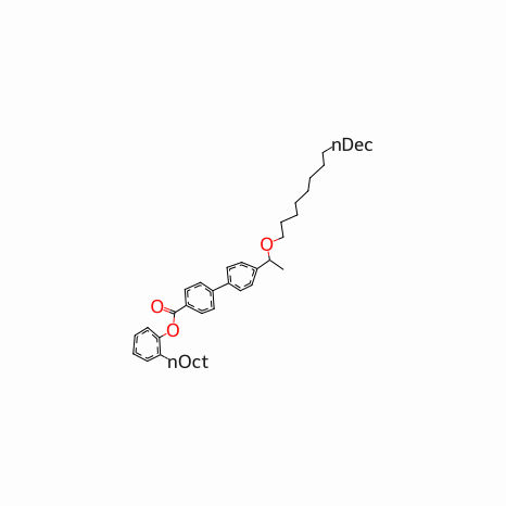 CCCCCCCCCCCCCCCCCCOC(C)c1ccc(-c2ccc(C(=O)Oc3ccccc3CCCCCCCC)cc2)cc1